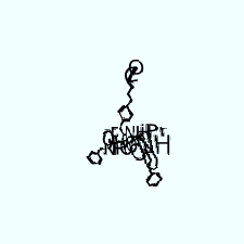 CC(C)[C@H](NC(=O)OCc1ccccc1)C(=O)NC(Cc1ccc(CCCC=C=O)cc1)C(=O)C(F)(F)C(=O)NCc1ccccc1